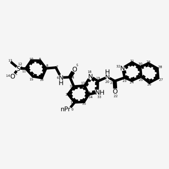 CCCc1cc(C(=O)NCc2ccc([S+](C)[O-])cc2)c2nc(NC(=O)c3cc4ccccc4cn3)[nH]c2c1